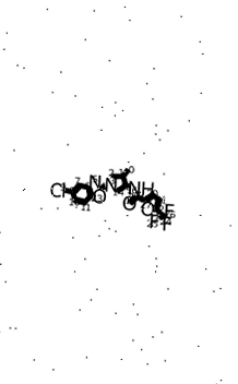 CC1CN(c2nc3cc(Cl)ccc3o2)CC1NC(=O)c1ccc(C(F)(F)F)o1